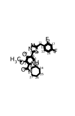 COc1c2n(cc(-c3nnc(Cc4ccc(F)cc4F)s3)c1=O)[C@H]1CCCCN(C1)C2=O